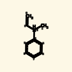 C=C[SiH](C)c1ccccc1